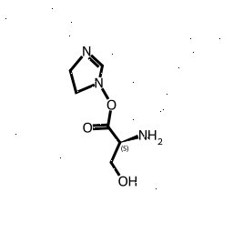 N[C@@H](CO)C(=O)ON1C=NCC1